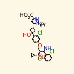 CC(C)n1nc(C(=O)O)cc1[C@H]1C[C@@](O)(c2ccc(OC/C(C(=N)c3c(Cl)cccc3Cl)=C(/O)C3CC3)cc2Cl)C1